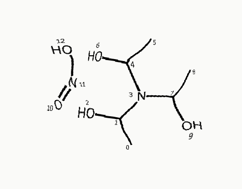 CC(O)N(C(C)O)C(C)O.O=NO